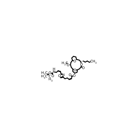 CCCCC[C@H]1CC2CCCC(C[C@@H](OC)CC3C[C@@H](OC(=O)/C=C\CCc4coc(/C=C\CNC(=O)OC(C)(C)C)n4)CC(CC(=O)O1)O3)O2